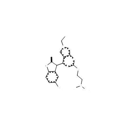 Bc1ccc2c(c1)C(c1nc(NCCN(C)C)nc3nn(CC(C)C)cc13)C(=O)N2